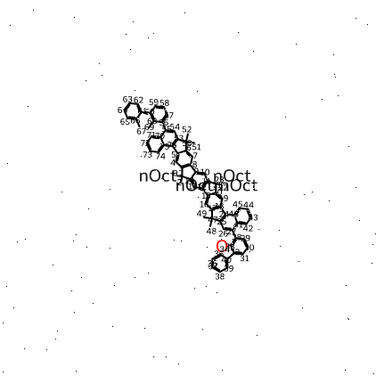 CCCCCCCCC1(CCCCCCCC)c2cc3c(cc2-c2cc4c(cc21)-c1cc2c(cc1C4(CCCCCCCC)CCCCCCCC)-c1c(cc(-c4cccc5c4oc4ccccc45)c4ccccc14)C2(C)C)C(C)(C)c1cc(-c2cccc(-c4ccccc4C)c2C)c2ccccc2c1-3